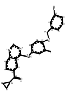 Cc1cc(Nc2ncnc3ccc(C(=O)C4CC4)cc23)ccc1OCc1cccc(F)c1